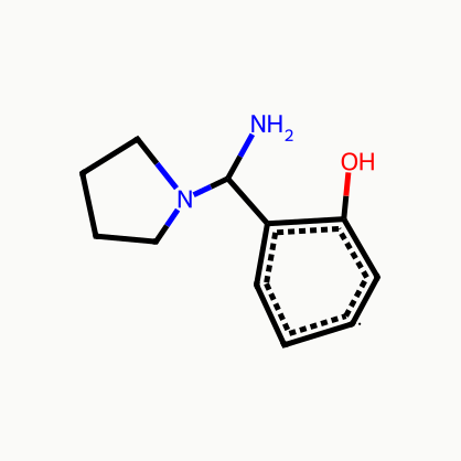 NC(c1cc[c]cc1O)N1CCCC1